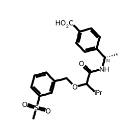 CC(C)C(OCc1cccc(S(C)(=O)=O)c1)C(=O)N[C@@H](C)c1ccc(C(=O)O)cc1